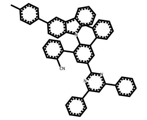 Cc1ccc(-c2ccc3c(c2)c2ccccc2n3-c2c(-c3ccccc3C#N)cc(-c3nc(-c4ccccc4)cc(-c4ccccc4)n3)cc2-c2ccccc2C#N)cc1